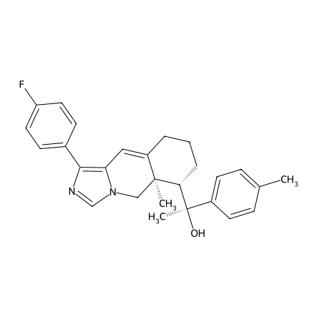 Cc1ccc([C@@](C)(O)[C@H]2CCCC3=Cc4c(-c5ccc(F)cc5)ncn4C[C@@]32C)cc1